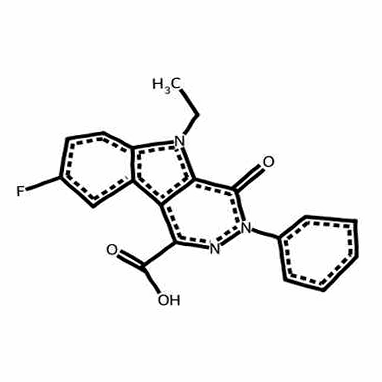 CCn1c2ccc(F)cc2c2c(C(=O)O)nn(-c3ccccc3)c(=O)c21